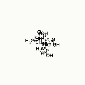 CC(C)C[C@H](NC(=O)[C@H](CCC(=O)O)NC(=O)[C@@H](N)CC(=O)O)C(=O)O